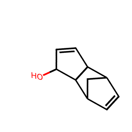 OC1C=CC2C3C=CC(C3)C12